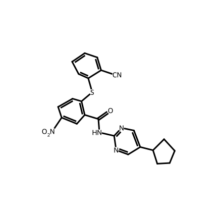 N#Cc1ccccc1Sc1ccc([N+](=O)[O-])cc1C(=O)Nc1ncc(C2CCCC2)cn1